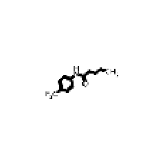 C=CCCC(=O)Nc1ccc(C(F)(F)F)cc1